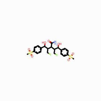 CS(=O)(=O)c1ccc(C(O)C(CF)C(C(N)=O)C(CF)C(O)c2ccc(S(C)(=O)=O)cc2)cc1